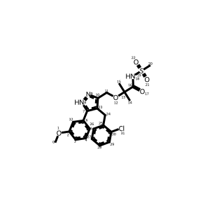 COc1cccc(-c2[nH]nc(COC(C)(C)C(=O)NS(C)(=O)=O)c2Cc2ccccc2Cl)c1